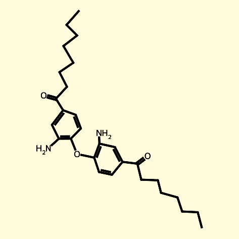 CCCCCCCC(=O)c1ccc(Oc2ccc(C(=O)CCCCCCC)cc2N)c(N)c1